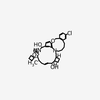 C[C@H]1C/C=C/[C@H](O)[C@@H]2CC[C@H]2CN2CCCCc3cc(Cl)ccc3COc3ccc(cc32)C(O)NS(=O)(=O)[C@@H]1C1CCC1